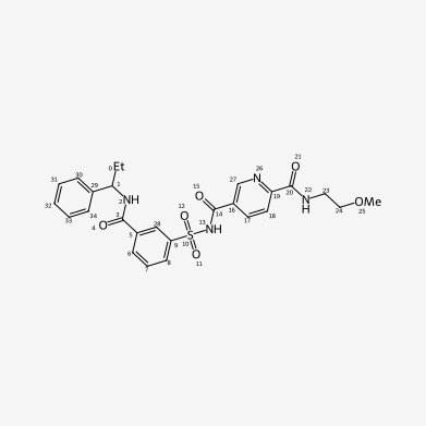 CCC(NC(=O)c1cccc(S(=O)(=O)NC(=O)c2ccc(C(=O)NCCOC)nc2)c1)c1ccccc1